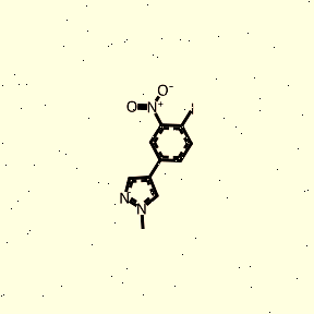 Cn1cc(-c2ccc(I)c([N+](=O)[O-])c2)cn1